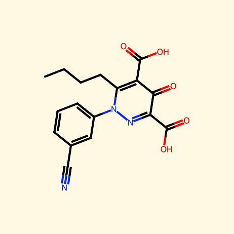 CCCCc1c(C(=O)O)c(=O)c(C(=O)O)nn1-c1cccc(C#N)c1